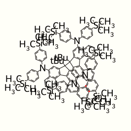 CC(C)(C)C1(C2(C(C)(C)C)c3cc(N(c4ccc([Si](C)(C)C)cc4)c4ccc([Si](C)(C)C)cc4)c4ccccc4c3-c3c2cc(N(c2ccc([Si](C)(C)C)cc2)c2ccc([Si](C)(C)C)cc2)c2ccccc32)c2cc(N(c3ccc([Si](C)(C)C)cc3)c3ccc([Si](C)(C)C)cc3)c3ccccc3c2-c2c1cc(N(c1ccc([Si](C)(C)C)cc1)c1ccc([Si](C)(C)C)cc1)c1ccccc21